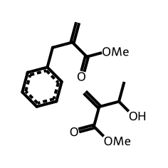 C=C(C(=O)OC)C(C)O.C=C(Cc1ccccc1)C(=O)OC